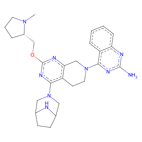 CN1CCC[C@H]1COc1nc2c(c(N3CC4CCC(C3)N4)n1)CCN(c1nc(N)nc3ccccc13)C2